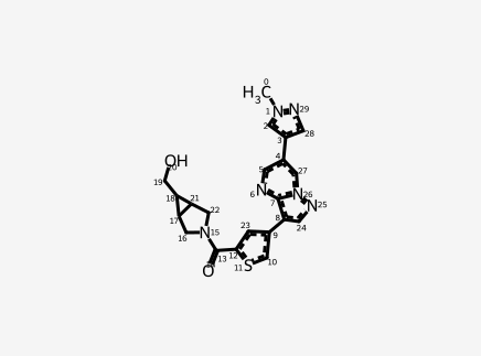 Cn1cc(-c2cnc3c(-c4csc(C(=O)N5CC6C(CO)C6C5)c4)cnn3c2)cn1